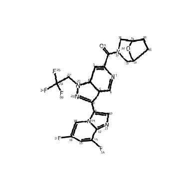 O=C(C1=CC2C(C=N1)C(c1cnc3c(F)cc(F)cn13)=NN2CC(F)(F)F)N1CC2CCC(C1)O2